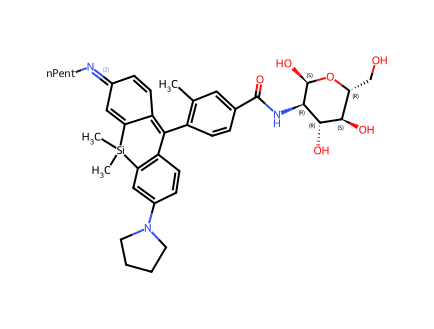 CCCCC/N=C1/C=CC2=C(c3ccc(C(=O)N[C@@H]4[C@@H](O)[C@H](O)[C@@H](CO)O[C@@H]4O)cc3C)c3ccc(N4CCCC4)cc3[Si](C)(C)C2=C1